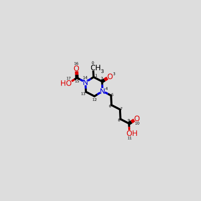 CC1C(=O)N(CCCCC(=O)O)CCN1C(=O)O